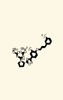 CC(C)(C)OC(=O)/N=C(\NC(=O)OC(C)(C)C)N1CCC[C@H]1c1nc(-c2ccc(OC/C=C/c3cccc(C(F)(F)F)c3)c(C(F)(F)F)c2)no1